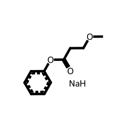 COCCC(=O)Oc1ccccc1.[NaH]